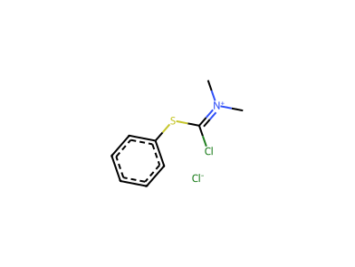 C[N+](C)=C(Cl)Sc1ccccc1.[Cl-]